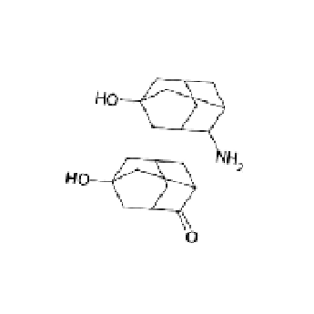 NC1C2CC3CC1CC(O)(C3)C2.O=C1C2CC3CC1CC(O)(C3)C2